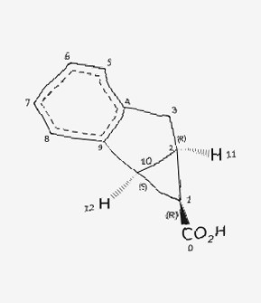 O=C(O)[C@@H]1[C@@H]2Cc3ccccc3[C@@H]21